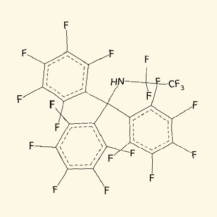 Fc1c(F)c(F)c(C(NC(F)(F)C(F)(F)F)(c2c(F)c(F)c(F)c(F)c2F)c2c(F)c(F)c(F)c(F)c2F)c(F)c1F